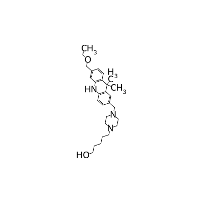 CCOCc1ccc2c(c1)Nc1ccc(CN3CCN(CCCCCO)CC3)cc1C2(C)C